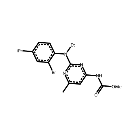 CCN(c1nc(C)cc(NC(=O)OC)n1)c1ccc(C(C)C)cc1Br